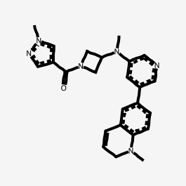 CN1CC=Cc2cc(-c3cncc(N(C)C4CN(C(=O)c5cnn(C)c5)C4)c3)ccc21